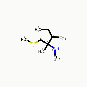 CCC(C)C(C)(CSC)NC